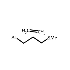 C=C.CSCCCC(C)=O